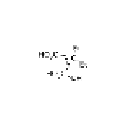 CCOCC.O=C(O)/C=C\C(=O)O.[NaH]